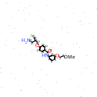 COCCOc1cccc(NC(=O)c2ccc(OC/C(=C/F)CN)cc2)c1